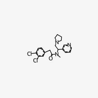 CN(C(=O)Cc1ccc(Cl)c(Cl)c1)C(CN1CCCC1)c1cccnc1